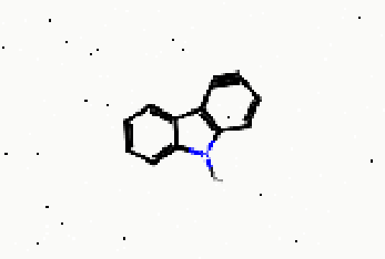 CCn1c2ccc#cc2c2ccccc21